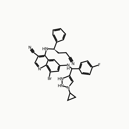 N#CCC[C@@H](Nc1c(C#N)cnc2c(Br)cc(NC(C3=CN(C4CC4)NN3)c3ccc(F)cc3)cc12)c1ccccc1